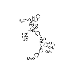 C=CCOC(=O)N[C@@H](Cc1ccccc1)C(=O)N[C@@H](CCCCNC(=O)OC(C)(C)C)C(=O)Nc1ccc(COC(=O)Nc2cc(C)c(C)cc2C(=O)N2C=C(c3ccc(OC)cc3)C[C@H]2COC(C)=O)cc1